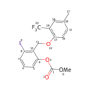 COC(=O)Oc1cccc(I)c1COc1ccc(C)cc1C(F)(F)F